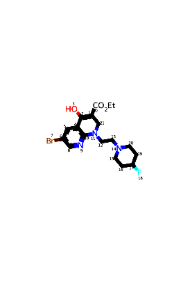 CCOC(=O)C1=C(O)c2cc(Br)cnc2N(CCN2CCC(F)CC2)C1